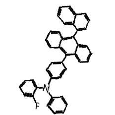 Fc1ccccc1N(c1ccccc1)c1ccc(-c2c3ccccc3c(-c3cccc4ccccc34)c3ccccc23)cc1